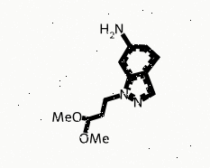 COC(CCn1ncc2ccc(N)cc21)OC